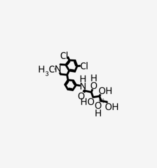 CN1Cc2c(Cl)cc(Cl)cc2C(c2cccc(NC(=O)C(O)C(O)C(O)[C@H](O)CO)c2)C1